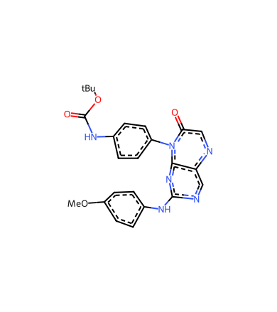 COc1ccc(Nc2ncc3ncc(=O)n(-c4ccc(NC(=O)OC(C)(C)C)cc4)c3n2)cc1